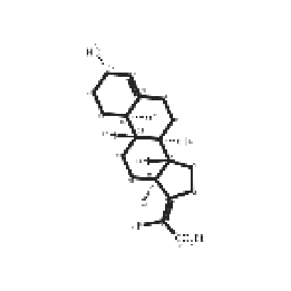 CCOC(=O)C(F)=C1CC[C@H]2[C@@H]3CCC4=C[C@@H](O)CC[C@]4(C)[C@H]3CC[C@]12C